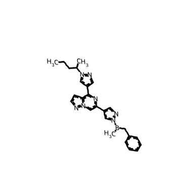 CCCC(C)n1cc(-c2nc(-c3cnn(B(C)Cc4ccccc4)c3)cn3nccc23)cn1